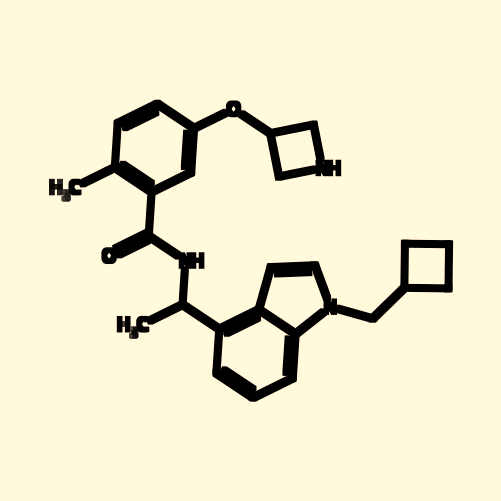 Cc1ccc(OC2CNC2)cc1C(=O)NC(C)c1cccc2c1ccn2CC1CCC1